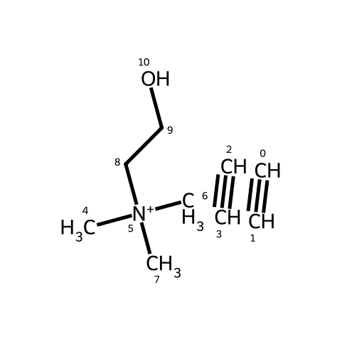 C#C.C#C.C[N+](C)(C)CCO